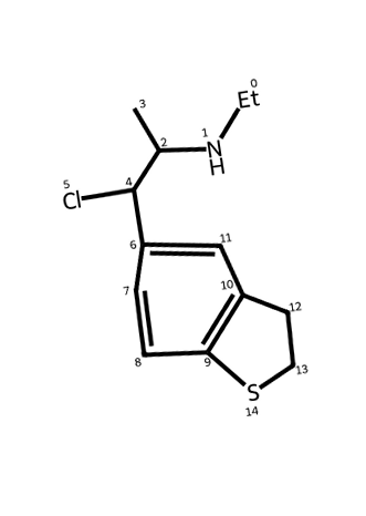 CCNC(C)C(Cl)c1ccc2c(c1)CCS2